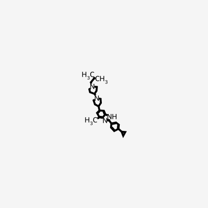 Cc1cc(C2CCN(C3CCN(CC(C)C)CC3)CC2)cc2[nH]c(-c3ccc(C4CC4)cc3)nc12